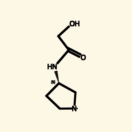 O=C(CO)N[C@H]1CC[N]C1